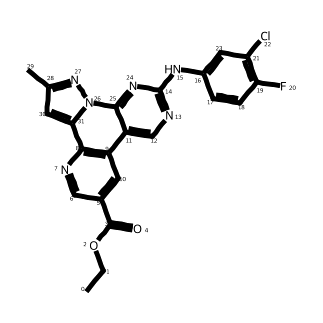 CCOC(=O)c1cnc2c(c1)c1cnc(Nc3ccc(F)c(Cl)c3)nc1n1nc(C)cc21